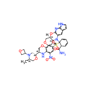 C[C@@H]1CO[C@@H]([C@H]2COc3cc(S(=O)(=O)C4(N5c6cc7cc[nH]c7nc6O[C@@H]6COCC[C@@H]65)C=CC=CC4C(N)=O)cc([N+](=O)[O-])c3N2)CN1C1COC1